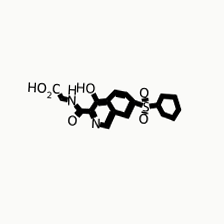 O=C(O)CNC(=O)c1ncc2cc(S(=O)(=O)C3CCCCC3)ccc2c1O